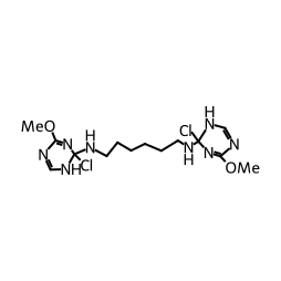 COC1=NC(Cl)(NCCCCCCNC2(Cl)N=C(OC)N=CN2)NC=N1